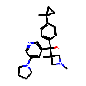 CN1CC(C)(C(O)(c2ccc(C3(C)CC3)cc2)c2cncc(N3CCCC3)c2)C1